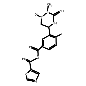 CN1C(=N)NC(c2cc(C(=N)OC(=N)c3cnco3)ccc2F)C[S+]1[O-]